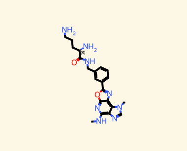 CNc1nc2oc(-c3cccc(CNC(=O)[C@H](N)CCCN)c3)nc2c2c1ncn2C